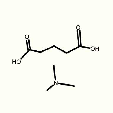 CN(C)C.O=C(O)CCCC(=O)O